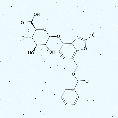 Cc1cc2c(O[C@@H]3O[C@H](C(=O)O)[C@@H](O)[C@H](O)[C@H]3O)ccc(COC(=O)c3ccccc3)c2o1